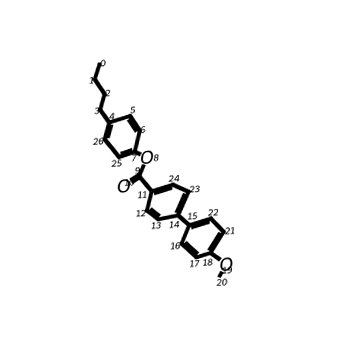 CCCCc1ccc(OC(=O)c2ccc(-c3ccc(OC)cc3)cc2)cc1